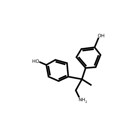 CC(CN)(c1ccc(O)cc1)c1ccc(O)cc1